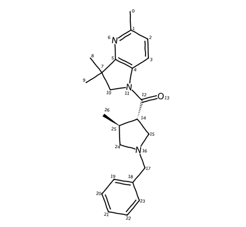 Cc1ccc2c(n1)C(C)(C)CN2C(=O)[C@@H]1CN(Cc2ccccc2)C[C@H]1C